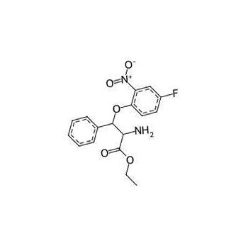 CCOC(=O)C(N)C(Oc1ccc(F)cc1[N+](=O)[O-])c1ccccc1